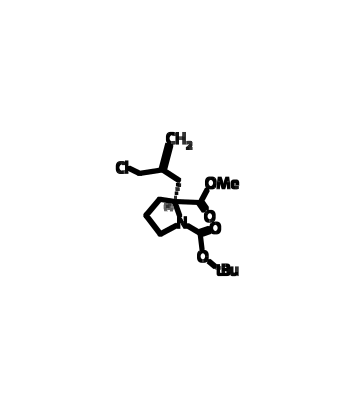 C=C(CCl)C[C@@]1(C(=O)OC)CCCN1C(=O)OC(C)(C)C